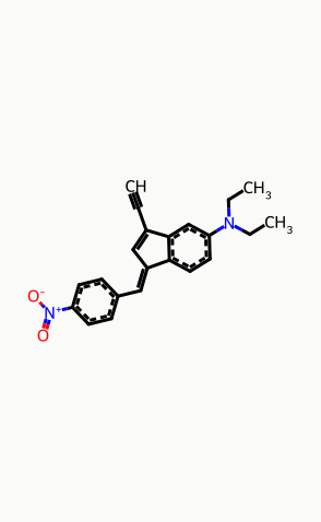 C#CC1=CC(=Cc2ccc([N+](=O)[O-])cc2)c2ccc(N(CC)CC)cc21